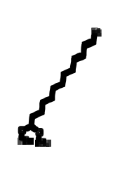 CCC=CC=CCCCCCCCCC(OCCCC)OCCCC